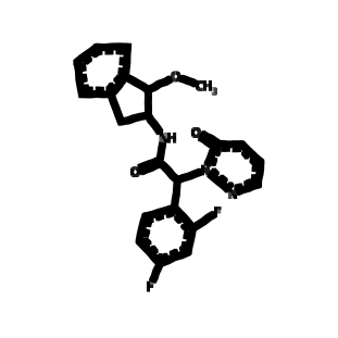 COC1c2ccccc2CC1NC(=O)C(c1ccc(F)cc1F)n1ncccc1=O